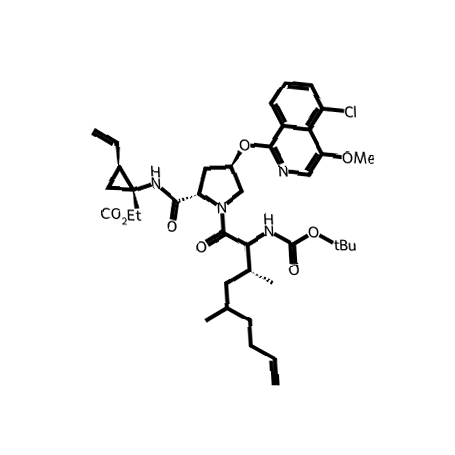 C=CCCC(C)C[C@@H](C)C(NC(=O)OC(C)(C)C)C(=O)N1C[C@H](Oc2ncc(OC)c3c(Cl)cccc23)C[C@H]1C(=O)N[C@]1(C(=O)OCC)C[C@H]1C=C